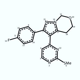 CSc1nccc(-c2c(-c3ccc(F)cc3)nn3c2CCOC3)n1